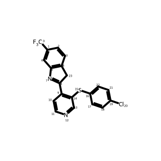 FC(F)(F)c1ccc2c(c1)N=C(c1ccncc1Sc1ccc(Cl)cc1)C2